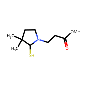 COC(=O)CCN1CCC(C)(C)C1S